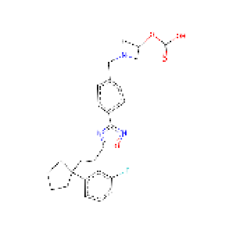 O=C(O)OC1CN(Cc2ccc(-c3noc(CCC4(c5cccc(F)c5)CCCC4)n3)cc2)C1